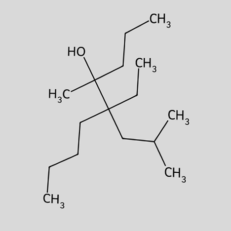 CCCCC(CC)(CC(C)C)C(C)(O)CCC